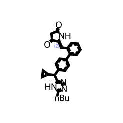 CCCCc1nnc(C(c2ccc(-c3ccccc3/C=C3\NC(=O)CC3=O)cc2)C2CC2)[nH]1